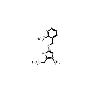 Cc1nc(SCc2ccccc2C(=O)O)sc1CC(=O)O